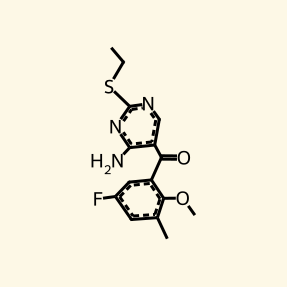 CCSc1ncc(C(=O)c2cc(F)cc(C)c2OC)c(N)n1